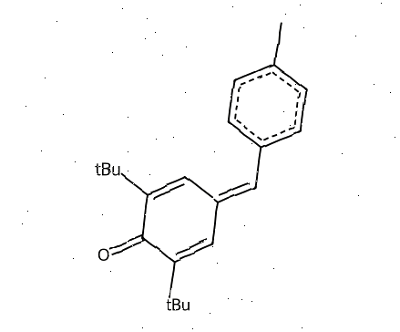 Cc1ccc(C=C2C=C(C(C)(C)C)C(=O)C(C(C)(C)C)=C2)cc1